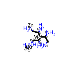 NC[CH](N)[Mo]([CH](N)CN)[CH](N)CN.[Ag].[Cu].[Zn]